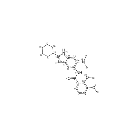 COc1cccc(C(=O)Nc2cc3nc(C4CCCCC4)[nH]c3cc2N(C)C)c1OC